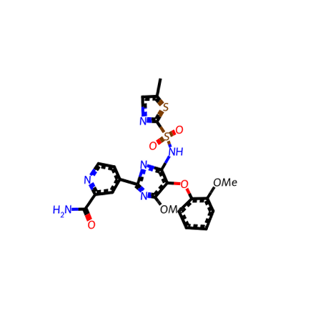 COc1ccccc1Oc1c(NS(=O)(=O)c2ncc(C)s2)nc(-c2ccnc(C(N)=O)c2)nc1OC